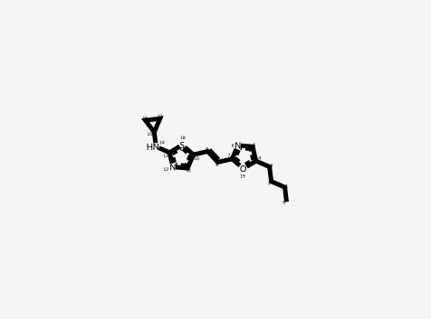 CCCCc1cnc(/C=C/c2cnc(NC3CC3)s2)o1